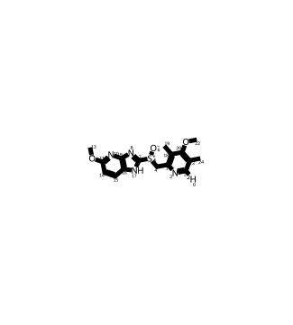 [2H]c1nc(C[S+]([O-])c2nc3nc(OC)ccc3[nH]2)c(C)c(OC)c1C